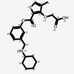 Cc1csc(C(=O)Oc2cccc(CNC3CCCCC3)c2)c1OCC(=O)O